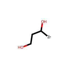 OCC[CH](O)[Zr]